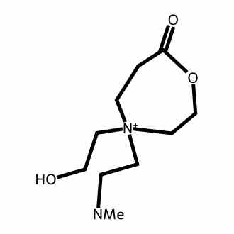 CNCC[N+]1(CCO)CCOC(=O)CC1